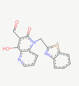 O=Cc1c(O)c2ncccc2n(Cc2nc3ccccc3s2)c1=O